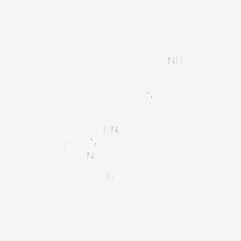 Cc1cc(NCC2CCN(C3CCNCC3)CC2)n(-c2cc3ccccc3cc2F)n1